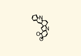 O=C1C=Cc2nc3ccc4nc5ccccc5cc4c3cc2C1=O